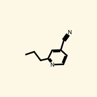 CCCc1cc(C#N)ccn1